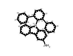 Nc1ccc2c(c1)c1ccccc1n2-c1c(-c2ccccc2)cccc1-c1ccccc1